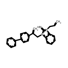 C=CCn1c(=N)n(CC(=C)c2ccc(-c3ccccc3)cc2)c2ccccc21